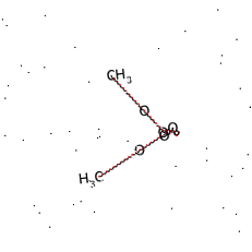 CCCCCCCCCCCCCCCCCCCCCCOCCCCCCCCCCCCOC1(OCCCCCCCCCCCCOCCCCCCCCCCCCCCCCCCCCCC)C=CC(C(=O)c2ccccc2)=CC1